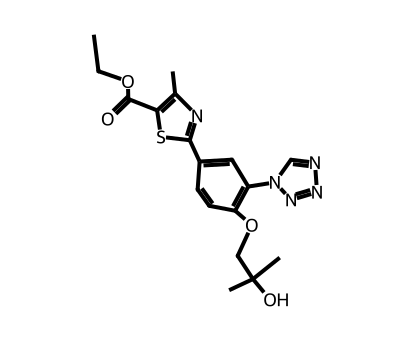 CCOC(=O)c1sc(-c2ccc(OCC(C)(C)O)c(-n3cnnn3)c2)nc1C